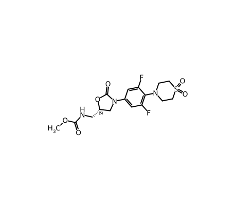 COC(=O)NC[C@H]1CN(c2cc(F)c(N3CCS(=O)(=O)CC3)c(F)c2)C(=O)O1